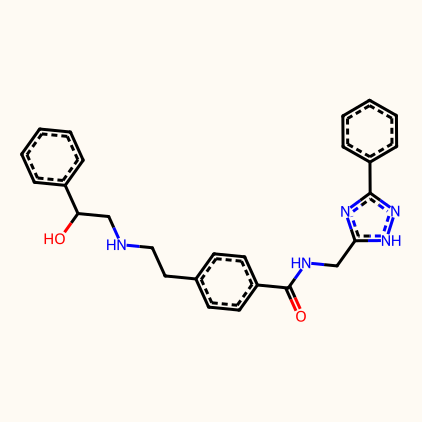 O=C(NCc1nc(-c2ccccc2)n[nH]1)c1ccc(CCNCC(O)c2ccccc2)cc1